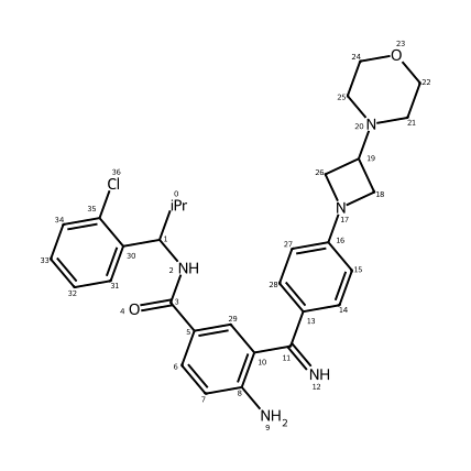 CC(C)C(NC(=O)c1ccc(N)c(C(=N)c2ccc(N3CC(N4CCOCC4)C3)cc2)c1)c1ccccc1Cl